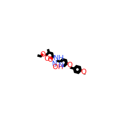 CCOC(=O)C(C)CC(=O)N/C(=N/O)c1ccc(OCc2ccc(OC)cc2)cn1